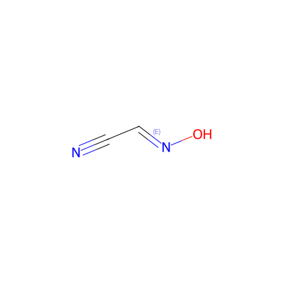 N#C/C=N/O